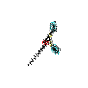 CCCCCCCCCCCCCCCCCC(=O)Oc1c(C)cc(CSCCC(F)(F)C(F)(F)C(F)(F)C(F)(F)F)cc1CSCCC(F)(F)C(F)(F)C(F)(F)C(F)(F)F